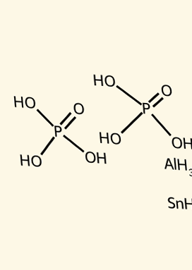 O=P(O)(O)O.O=P(O)(O)O.[AlH3].[SnH2]